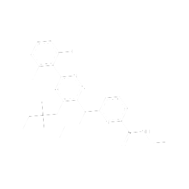 CC[C@@H](c1cc(-c2c(F)cccc2F)nnc1C(C)c1cccc(C(=O)NOC)n1)C(C)(C)CC